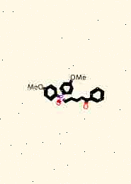 COc1ccc(P(=O)(CCCCC(=O)c2ccccc2)c2ccc(OC)cc2)cc1